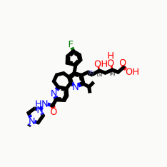 CC(C)c1nc2c(c(-c3ccc(F)cc3)c1/C=C/[C@@H](O)C[C@@H](O)CC(=O)O)CCCc1nc(C(=O)NN3CCN(C)CC3)ccc1-2